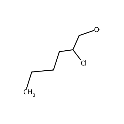 CCCCC(Cl)C[O]